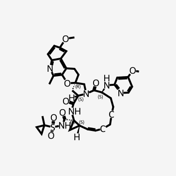 COc1ccnc(N[C@H]2CCCCCC=C[C@@H]3C[C@@]3(C(=O)NS(=O)(=O)C3(C)CC3)NC(=O)[C@@H]3C[C@]4(CCc5c(c(C)nc6ccc(OC)cc56)O4)CN3C2=O)c1